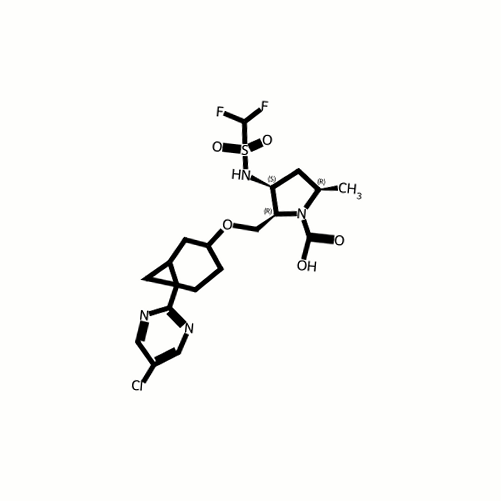 C[C@@H]1C[C@H](NS(=O)(=O)C(F)F)[C@H](COC2CCC3(c4ncc(Cl)cn4)CC3C2)N1C(=O)O